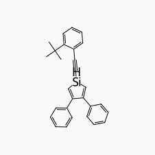 CC(C)(C)c1ccccc1C#C[SiH]1C=C(c2ccccc2)C(c2ccccc2)=C1